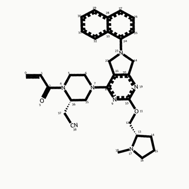 C=CC(=O)N1CCN(c2nc(OC[C@@H]3CCCN3C)nc3c2CN(c2cccc4ccccc24)C3)C[C@@H]1CC#N